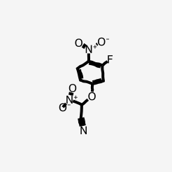 N#CC(Oc1ccc([N+](=O)[O-])c(F)c1)[N+](=O)[O-]